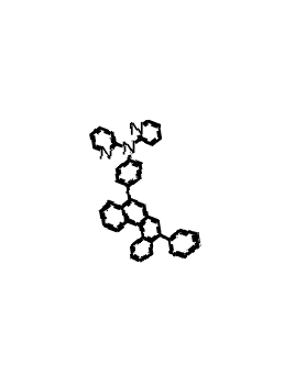 c1ccc(-c2cc3cc(-c4ccc(N(c5ccccn5)c5ccccn5)cc4)c4ccccc4c3c3ccccc23)cc1